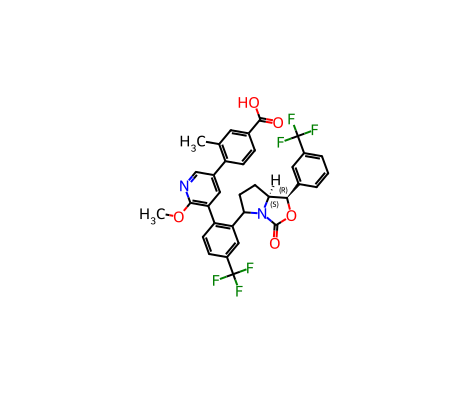 COc1ncc(-c2ccc(C(=O)O)cc2C)cc1-c1ccc(C(F)(F)F)cc1C1CC[C@H]2[C@@H](c3cccc(C(F)(F)F)c3)OC(=O)N12